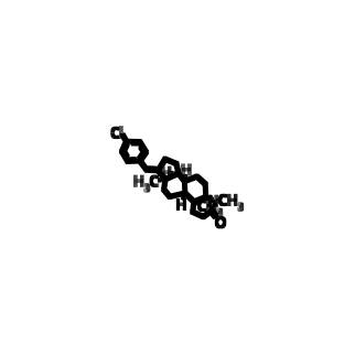 CN1C(=O)CC[C@@]2(C)C1CC[C@@H]1[C@H]2CC[C@]2(C)C(=Cc3ccc(Cl)cc3)CC[C@@H]12